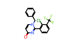 O=c1ccn(Cc2ccccc2)c(-c2cccc(C(F)(F)F)c2Cl)n1